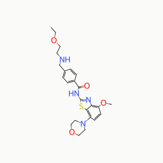 CCOCCNCc1ccc(C(=O)Nc2nc3c(OC)ccc(N4CCOCC4)c3s2)cc1